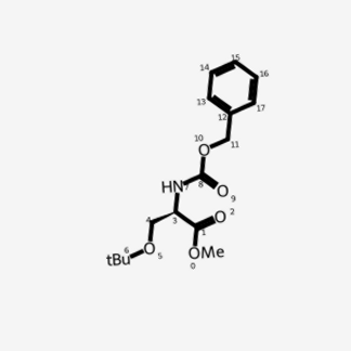 COC(=O)[C@@H](COC(C)(C)C)NC(=O)OCc1ccccc1